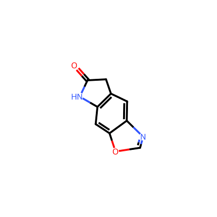 O=C1Cc2cc3ncoc3cc2N1